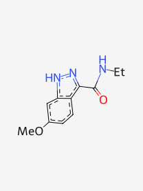 CCNC(=O)c1n[nH]c2cc(OC)ccc12